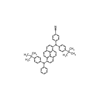 C[Si](C)(C)c1ccc(N(c2ccccc2)c2ccc3ccc4c(N(c5ccc(C#N)cc5)c5ccc([Si](C)(C)C)cc5)ccc5ccc2c3c54)cc1